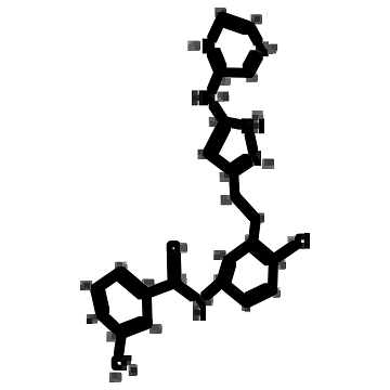 O=C(Nc1ccc(Cl)c(CCc2cc(Nc3cnccn3)[nH]n2)c1)c1cccc(C(F)(F)F)c1